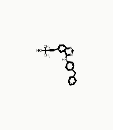 CC(C)(O)C#Cc1ccc2ncnc(Nc3ccc(Cc4ccccc4)cc3)c2c1